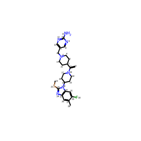 C=C(C1CCN(Cc2cnc(N)nc2)CC1)N1CCC(n2c(SC)nc3cc(C)c(F)cc32)CC1